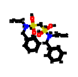 CCCCCN(Cc1ccccc1)S(=O)(=O)CS(=O)(=O)N(CCCCC)Cc1ccccc1